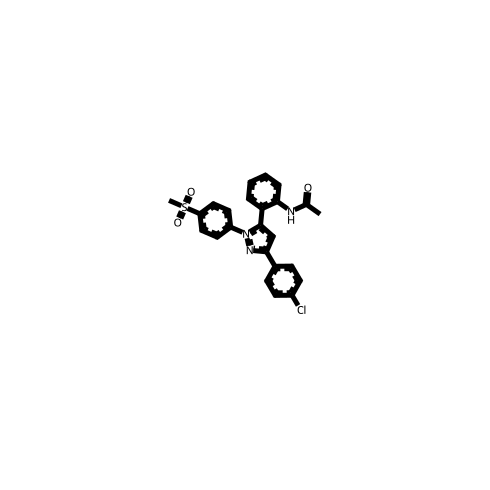 CC(=O)Nc1ccccc1-c1cc(-c2ccc(Cl)cc2)nn1-c1ccc(S(C)(=O)=O)cc1